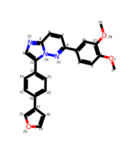 COc1ccc(-c2ccc3ncc(-c4ccc(-c5ccoc5)cc4)n3n2)cc1OC